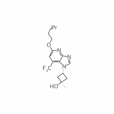 CC(C)CCOc1cc(C(F)(F)F)c2c(ncn2[C@H]2C[C@](C)(O)C2)n1